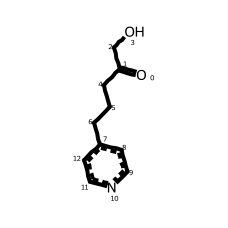 O=C(CO)CCCc1ccncc1